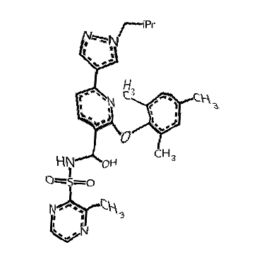 Cc1cc(C)c(Oc2nc(-c3cnn(CC(C)C)c3)ccc2C(O)NS(=O)(=O)c2nccnc2C)c(C)c1